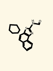 C1CCCCC1.O=CNc1nc2c(ccc3ccccc32)s1